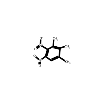 Cc1cc([N+](=O)[O-])c([N+](=O)[O-])c(C)c1C